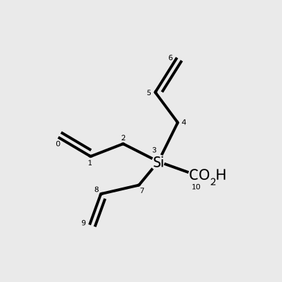 C=CC[Si](CC=C)(CC=C)C(=O)O